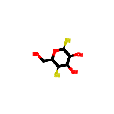 OC[C@H]1O[C@H](S)[C@@H](O)[C@@H](O)[C@@H]1S